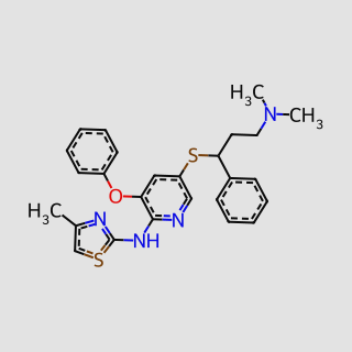 Cc1csc(Nc2ncc(SC(CCN(C)C)c3ccccc3)cc2Oc2ccccc2)n1